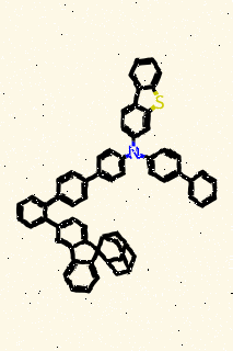 c1ccc(-c2ccc(N(c3ccc(-c4ccc(-c5ccccc5-c5ccc6c(c5)-c5ccccc5C65C6CC7CC(C6)CC5C7)cc4)cc3)c3ccc4c(c3)sc3ccccc34)cc2)cc1